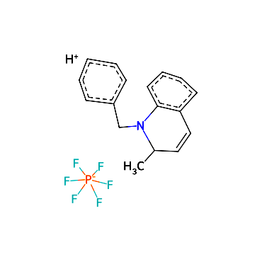 CC1C=Cc2ccccc2N1Cc1ccccc1.F[P-](F)(F)(F)(F)F.[H+]